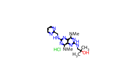 CNc1nc(NCC(C)(C)O)nc2c(NC)nc(NCc3ncccn3)nc12.Cl